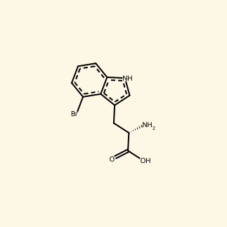 N[C@@H](Cc1c[nH]c2cccc(Br)c12)C(=O)O